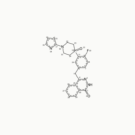 O=c1[nH]nc(Cc2ccc(F)c(P3(=O)CCN(c4nccs4)CC3)c2)c2ccccc12